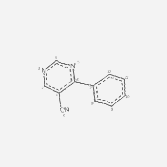 N#Cc1cncnc1-c1ccccc1